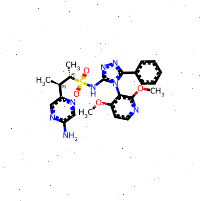 COc1ccnc(OC)c1-n1c(NS(=O)(=O)[C@@H](C)[C@H](C)c2cnc(N)cn2)nnc1-c1ccccc1